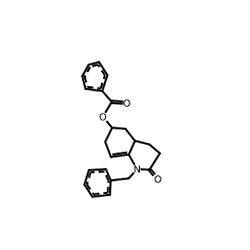 O=C(OC1CC=C2C(CCC(=O)N2Cc2ccccc2)C1)c1ccccc1